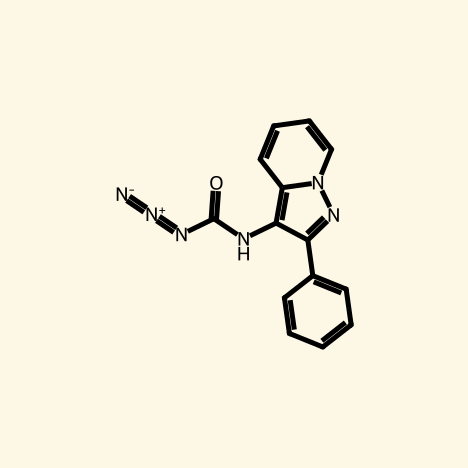 [N-]=[N+]=NC(=O)Nc1c(-c2ccccc2)nn2ccccc12